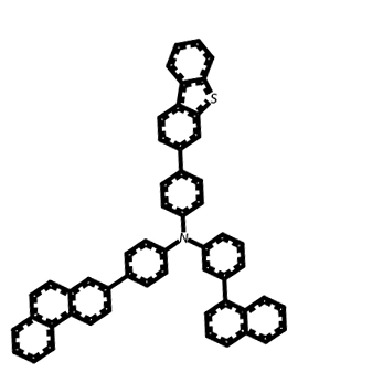 c1cc(-c2cccc3ccccc23)cc(N(c2ccc(-c3ccc4c(ccc5ccccc54)c3)cc2)c2ccc(-c3ccc4c(c3)sc3ccccc34)cc2)c1